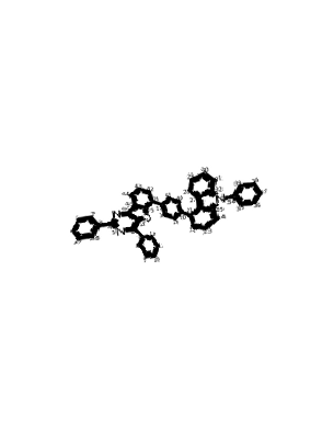 c1ccc(-c2nc(-c3ccccc3)c3oc4c(-c5ccc(-c6cccc7c6c6ccccc6n7-c6ccccc6)cc5)cccc4c3n2)cc1